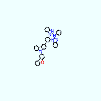 c1ccc(-n2c3nc4ccccc4n3c3ccc(-c4ccc5c(c4)c4ccccc4n5-c4ccc5oc6ccccc6c5c4)cc3n3c4ccccc4nc23)cc1